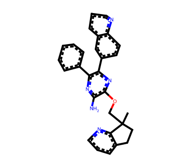 CC1(COc2nc(-c3ccc4ncccc4c3)c(-c3ccccc3)nc2N)CCc2cccnc21